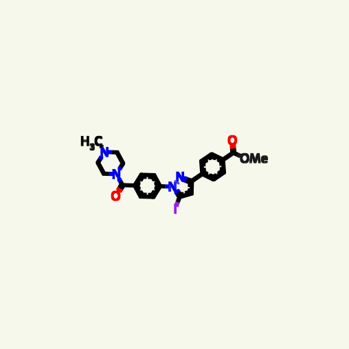 COC(=O)c1ccc(-c2cc(I)n(-c3ccc(C(=O)N4CCN(C)CC4)cc3)n2)cc1